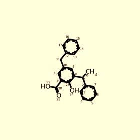 CC(c1ccccc1)c1cc(Cc2ccccc2)cc(C(=O)O)c1O